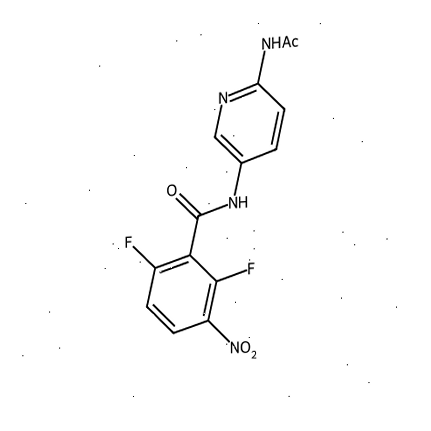 CC(=O)Nc1ccc(NC(=O)c2c(F)ccc([N+](=O)[O-])c2F)cn1